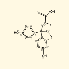 COC(C=C(C)C(=O)O)(c1ccc(O)cc1)c1ccc(O)cc1